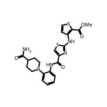 COC(=O)c1sccc1Nc1nc(C(=O)Nc2ccccc2N2CCC(C(N)=O)CC2)cs1